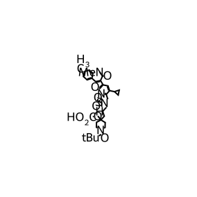 CNC(=O)c1c(-c2ccc(C)cc2)oc2nc(CN(CCCC3(OC(=O)O)CCN(C(=O)C(C)(C)C)CC3)[SH](=O)=O)c(C3CC3)cc12